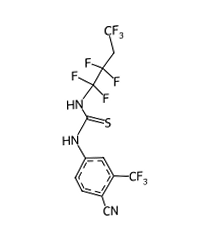 N#Cc1ccc(NC(=S)NC(F)(F)C(F)(F)CC(F)(F)F)cc1C(F)(F)F